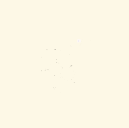 CC/C=C/CCOc1c(OCCCCCCCCCC)c(=O)oc2c(OC)cccc12